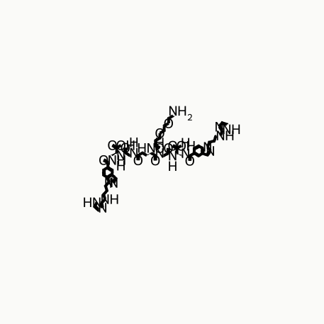 NCCOCCOCCC(=O)N[C@@H](CCC(=O)NCC(=O)N[C@@H](CNC(=O)c1ccc2c(cnn2CCCNc2ncc[nH]2)c1)C(=O)O)C(=O)NCC(=O)N[C@@H](CNC(=O)c1ccc2c(cnn2CCCNc2ncc[nH]2)c1)C(=O)O